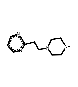 [CH](CN1CCNCC1)c1ncccn1